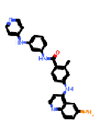 Cc1cc(Nc2ccnc3ccc(P)cc23)ccc1C(=O)Nc1cccc(Nc2ccncc2)c1